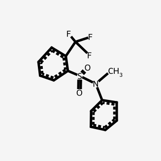 CN(c1ccccc1)S(=O)(=O)c1ccccc1C(F)(F)F